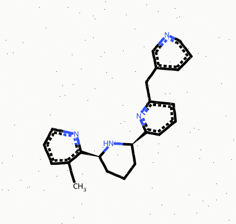 Cc1cccnc1[C@@H]1CCC[C@H](c2cccc(Cc3cccnc3)n2)N1